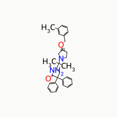 Cc1cccc(CO[C@@H]2CCN(C(C)(C)CCC(C(N)=O)(c3ccccc3)c3ccccc3)C2)c1